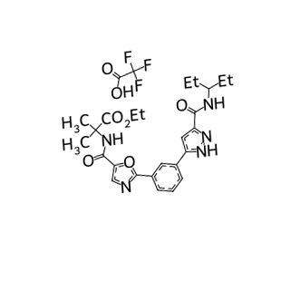 CCOC(=O)C(C)(C)NC(=O)c1cnc(-c2cccc(-c3cc(C(=O)NC(CC)CC)n[nH]3)c2)o1.O=C(O)C(F)(F)F